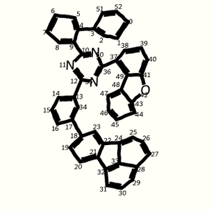 c1ccc(-c2ccccc2-c2nc(-c3cccc(-c4ccc5c(c4)-c4cccc6cccc-5c46)c3)nc(-c3cccc4oc5ccccc5c34)n2)cc1